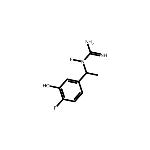 CC(c1ccc(F)c(O)c1)N(F)C(=N)N